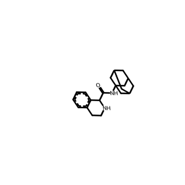 O=C(NC12CC3CC(CC(C3)C1)C2)C1NCCc2ccccc21